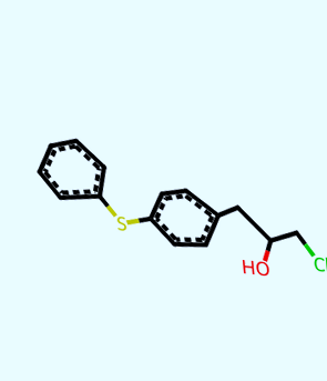 OC(CCl)Cc1ccc(Sc2ccccc2)cc1